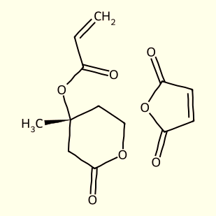 C=CC(=O)O[C@]1(C)CCOC(=O)C1.O=C1C=CC(=O)O1